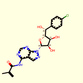 C=C(C)C(=O)Nc1ncnc2c1cnn2[C@@H]1O[C@H]([C@H](O)c2ccc(Cl)cc2)[C@@H](O)[C@H]1O